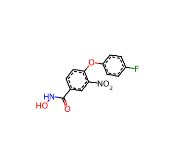 O=C(NO)c1ccc(Oc2ccc(F)cc2)c([N+](=O)[O-])c1